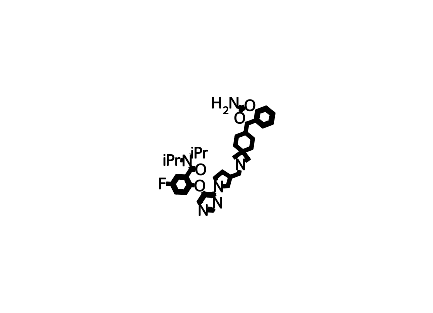 CC(C)N(C(=O)c1cc(F)ccc1Oc1cncnc1N1CCC(CN2CC3(CCC([C@H](OC(N)=O)c4ccccc4)CC3)C2)C1)C(C)C